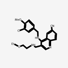 CCOCCNCc1cnc2ccc(C#N)cc2c1NCc1ccc(OC)c(Cl)c1